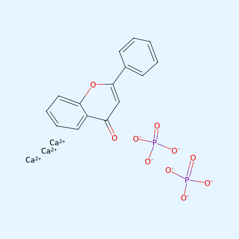 O=P([O-])([O-])[O-].O=P([O-])([O-])[O-].O=c1cc(-c2ccccc2)oc2ccccc12.[Ca+2].[Ca+2].[Ca+2]